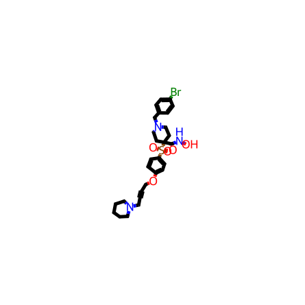 O=C(NO)C1(S(=O)(=O)c2ccc(OCC#CCN3CCCCC3)cc2)CCN(Cc2ccc(Br)cc2)CC1